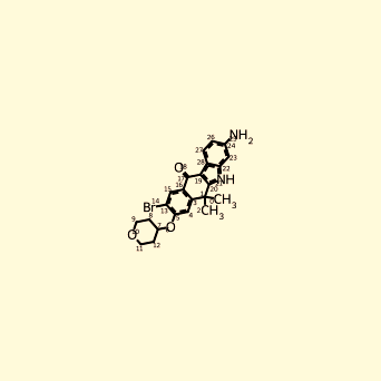 CC1(C)c2cc(OC3CCOCC3)c(Br)cc2C(=O)c2c1[nH]c1cc(N)ccc21